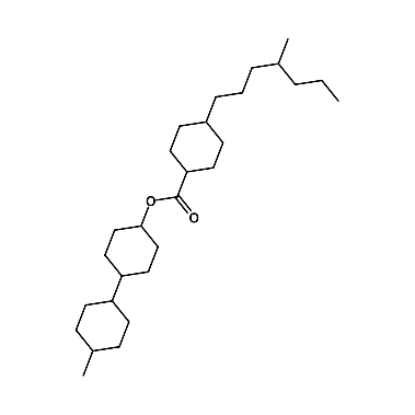 CCCC(C)CCCC1CCC(C(=O)OC2CCC(C3CCC(C)CC3)CC2)CC1